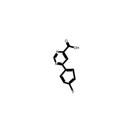 O=C(O)c1cc(-c2ccc(F)cc2)ncn1